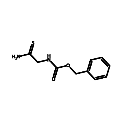 NC(=S)CNC(=O)OCc1ccccc1